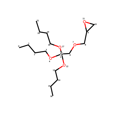 CCCCO[Si](COCC1CO1)(OCCCC)OCCCC